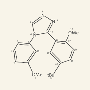 COc1cccc(-n2cnnc2-c2cc(C(C)(C)C)ccc2OC)c1